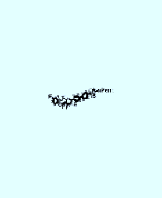 CCCCCC1COC(c2ccc(-c3ccc(-c4cc(F)c(C(F)(F)Oc5ccc(F)cc5)c(F)c4)c(F)c3)cc2)OC1